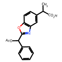 CC(=O)OC(c1ccccc1)c1nc2cc(C(C)C(=O)O)ccc2o1